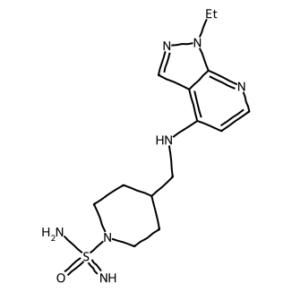 CCn1ncc2c(NCC3CCN(S(=N)(N)=O)CC3)ccnc21